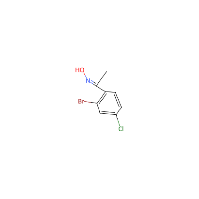 CC(=NO)c1ccc(Cl)cc1Br